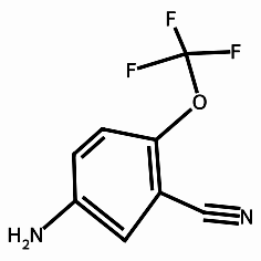 N#Cc1cc(N)ccc1OC(F)(F)F